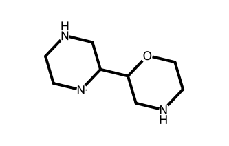 C1CNCC(C2CNCCO2)[N]1